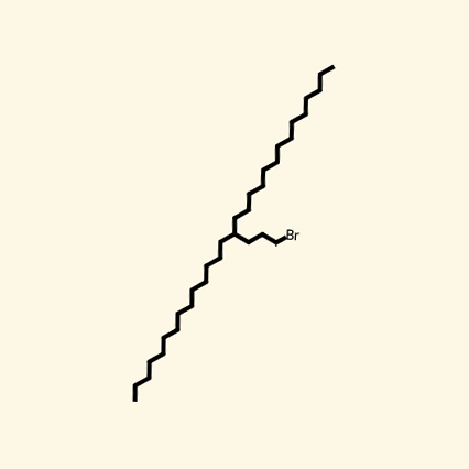 CCCCCCCCCCCCCCC(CC[CH]Br)CCCCCCCCCCCCCC